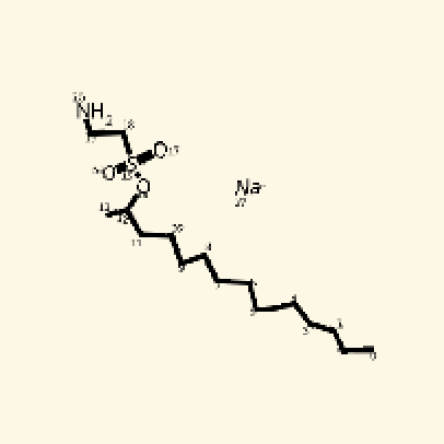 CCCCCCCCCCCCC(C)OS(=O)(=O)CCN.[Na]